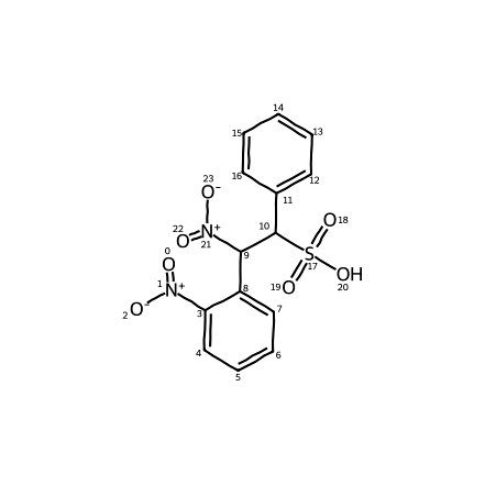 O=[N+]([O-])c1ccccc1C(C(c1ccccc1)S(=O)(=O)O)[N+](=O)[O-]